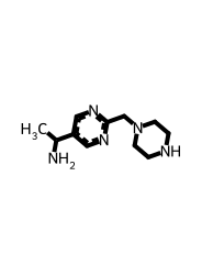 CC(N)c1cnc(CN2CCNCC2)nc1